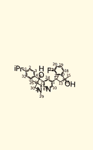 CC(C)c1ccc([C@](O)(c2cncc(CCC(C)(O)c3cccc(F)c3)c2)C2(C)CN(C)C2)cc1